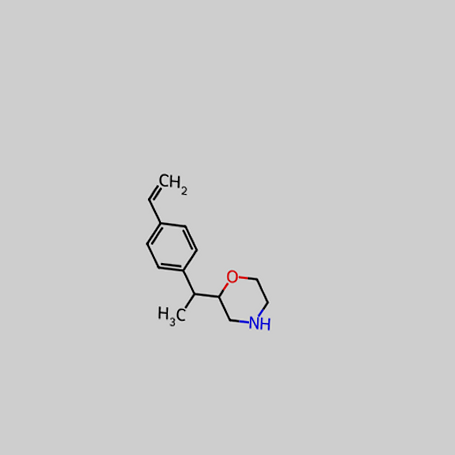 C=Cc1ccc(C(C)C2CNCCO2)cc1